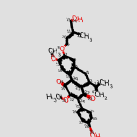 C=C(C)C1Cc2cc(OC/C=C(\C)CO)c(OC)cc2C2=C1C(=O)C(c1ccc(O)cc1)=C(OC)C2=O